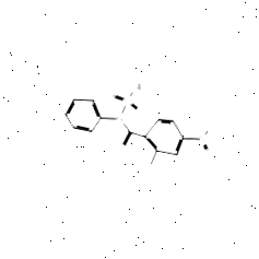 NS(=O)(=O)N(C(=O)c1ccc([N+](=O)[O-])cc1Cl)c1ccccc1